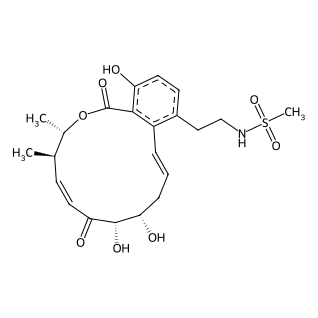 C[C@@H]1/C=C\C(=O)[C@@H](O)[C@@H](O)C/C=C/c2c(CCNS(C)(=O)=O)ccc(O)c2C(=O)O[C@H]1C